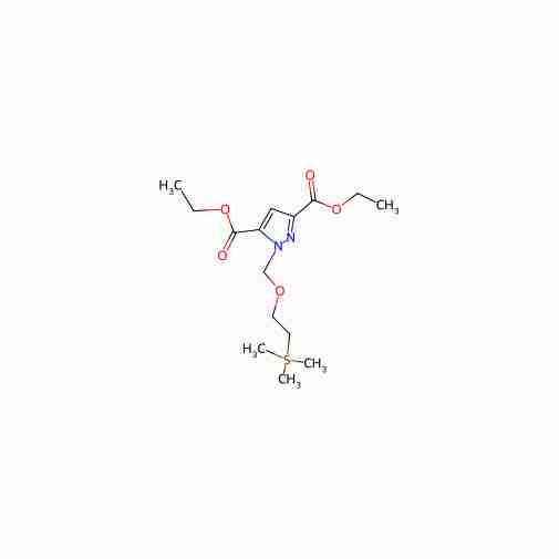 CCOC(=O)c1cc(C(=O)OCC)n(COCCS(C)(C)C)n1